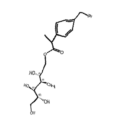 CC(C)Cc1ccc(C(C)C(=O)OC[C@@H](O)[C@@H](O)[C@H](O)[C@H](O)CO)cc1